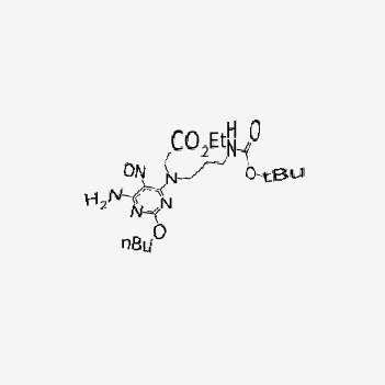 CCCCOc1nc(N)c(N=O)c(N(CCCNC(=O)OC(C)(C)C)CC(=O)OCC)n1